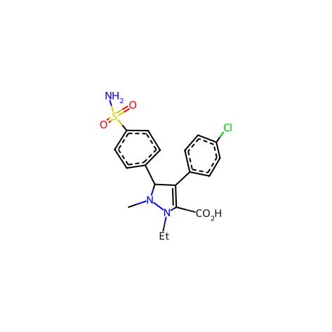 CCN1C(C(=O)O)=C(c2ccc(Cl)cc2)C(c2ccc(S(N)(=O)=O)cc2)N1C